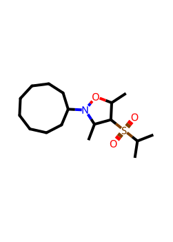 CC1ON(C2CCCCCCCC2)C(C)C1S(=O)(=O)C(C)C